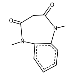 CN1C(=O)CC(=O)N(C)c2ccccc21